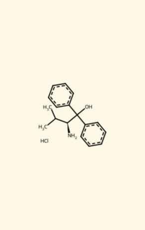 CC(C)[C@H](N)C(O)(c1ccccc1)c1ccccc1.Cl